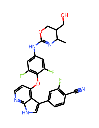 CC1N=C(Nc2cc(F)c(Oc3ccnc4[nH]cc(-c5ccc(C#N)c(F)c5)c34)c(F)c2)OCC1CO